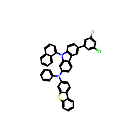 Clc1cc(Cl)cc(-c2ccc3c(c2)c2ccc(N(c4ccccc4)c4ccc5c(c4)sc4ccccc45)cc2n3-c2cccc3ccccc23)c1